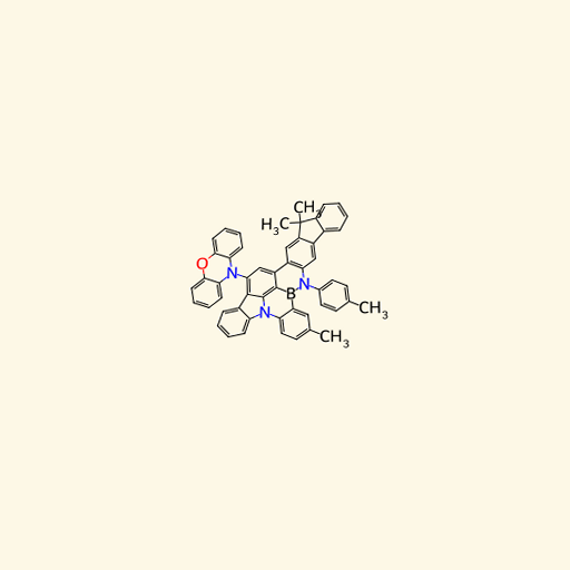 Cc1ccc(N2B3c4cc(C)ccc4-n4c5ccccc5c5c(N6c7ccccc7Oc7ccccc76)cc(c3c54)-c3cc4c(cc32)-c2ccccc2C4(C)C)cc1